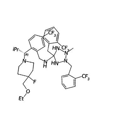 CCOCC1(F)CCN([C@@H](c2ccc(C(F)(F)F)cc2CNC2(Cc3ccccc3C(F)(F)F)NN(C)N(Cc3ccccc3C(F)(F)F)N2)C(C)C)CC1